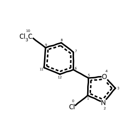 Clc1ncoc1-c1ccc(C(Cl)(Cl)Cl)cc1